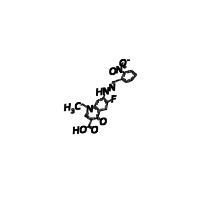 CCn1cc(C(=O)O)c(=O)c2cc(F)c(NN=Cc3ccccc3[N+](=O)[O-])cc21